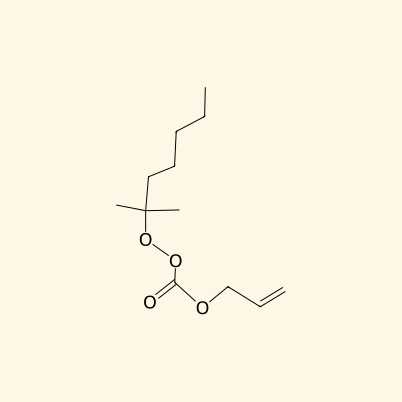 C=CCOC(=O)OOC(C)(C)CCCCC